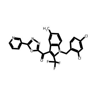 Cc1ccc2c(c1)c(C(=O)c1nnc(-c3cccnc3)o1)c(C(F)(F)F)n2Cc1ccc(Cl)cc1Cl